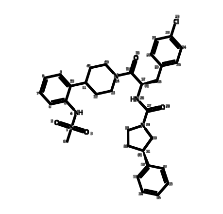 CS(=O)(=O)Nc1ccccc1C1CCN(C(=O)[C@@H](Cc2ccc(Cl)cc2)NC(=O)N2[CH][C@@H](c3ccccc3)CC2)CC1